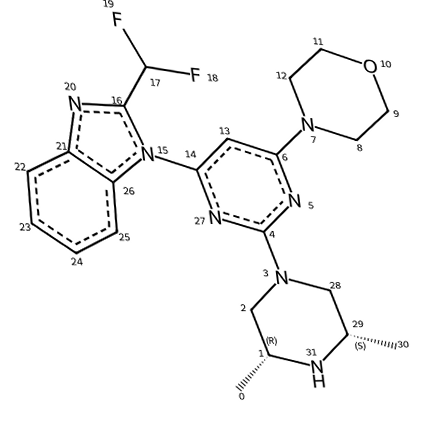 C[C@@H]1CN(c2nc(N3CCOCC3)cc(-n3c(C(F)F)nc4ccccc43)n2)C[C@H](C)N1